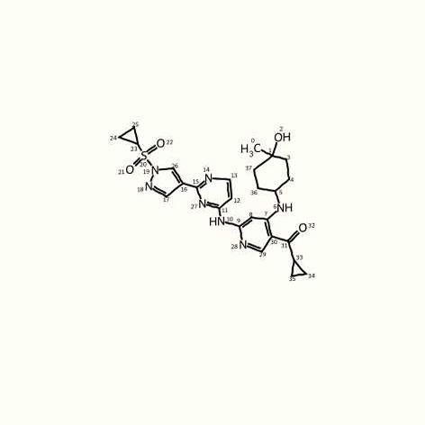 CC1(O)CCC(Nc2cc(Nc3ccnc(-c4cnn(S(=O)(=O)C5CC5)c4)n3)ncc2C(=O)C2CC2)CC1